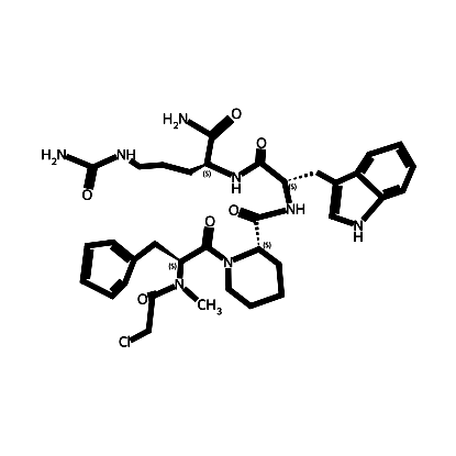 CN(C(=O)CCl)[C@@H](Cc1ccccc1)C(=O)N1CCCC[C@H]1C(=O)N[C@@H](Cc1c[nH]c2ccccc12)C(=O)N[C@@H](CCCNC(N)=O)C(N)=O